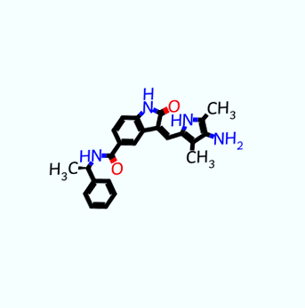 Cc1[nH]c(/C=C2\C(=O)Nc3ccc(C(=O)N[C@H](C)c4ccccc4)cc32)c(C)c1N